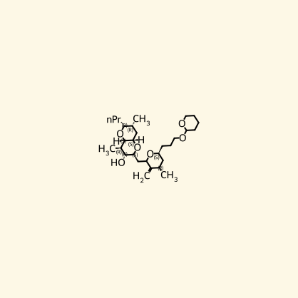 C=C1C(C[C@@H]2O[C@H]3C[C@@H](C)[C@@H](CCC)O[C@H]3[C@H](C)[C@H]2O)O[C@@H](CCCOC2CCCCO2)C[C@H]1C